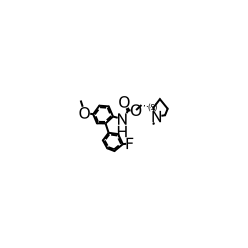 COc1ccc(NC(=O)OC[C@@H]2CCCN2C)c(-c2cccc(F)c2)c1